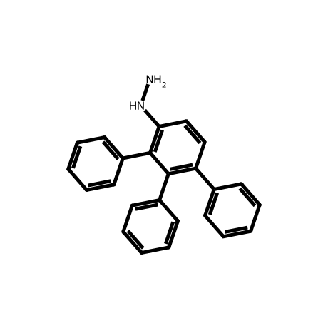 NNc1ccc(-c2ccccc2)c(-c2ccccc2)c1-c1ccccc1